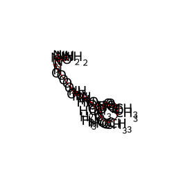 CO[C@H]1C[C@@H]2CCC[C@@](O)(O2)C(=O)C(=O)N2CCCC[C@H]2C(=O)O[C@H]([C@H](N)C[C@@H]2CC[C@@H](OC(=O)NCc3cnc(N4CCN(c5cnc(C(=O)NCCOCCOCCOCCOCCC(=O)N6CCc7cc(Cn8nc(-c9ccc%10oc(N)nc%10c9)c9c(N)ncnc98)ccc7C6)cn5)CC4)nc3)[C@H](OC)C2)CC(=O)[C@H](C)/C=C(\C)[C@@H](O)[C@@H](O)C(=O)[C@H](C)C[C@H](C)/C=C/C=C/C=C/1C